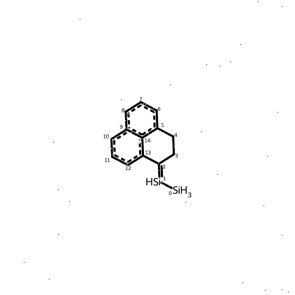 [SiH3][SiH]=C1CCc2cccc3cccc1c23